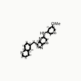 COc1cncc(Nc2cnc3nnn(Cc4ccc5ncccc5c4)c3n2)c1